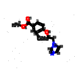 CCCOC(=O)c1ccc(OCCn2ccnc2)c(OC)c1